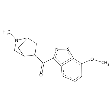 COc1cccc2c(C(=O)N3CC4CC3CN4C)nsc12